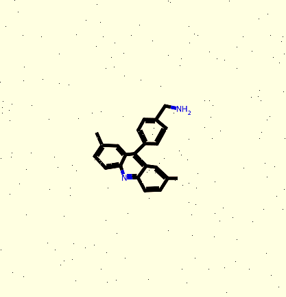 Cc1ccc2nc3ccc(C)cc3c(-c3ccc(CN)cc3)c2c1